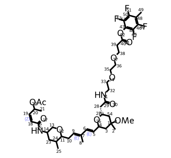 COC1(C)CC(/C=C/C(C)=C/CC2OCC(NC(=O)/C=C\C(C)OC(C)=O)CC2C)O[C@H](CC(=O)NCCOCCOCCC(=O)Oc2c(F)c(F)c(C)c(F)c2F)C1